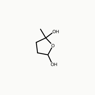 CC1(O)CCC(O)O1